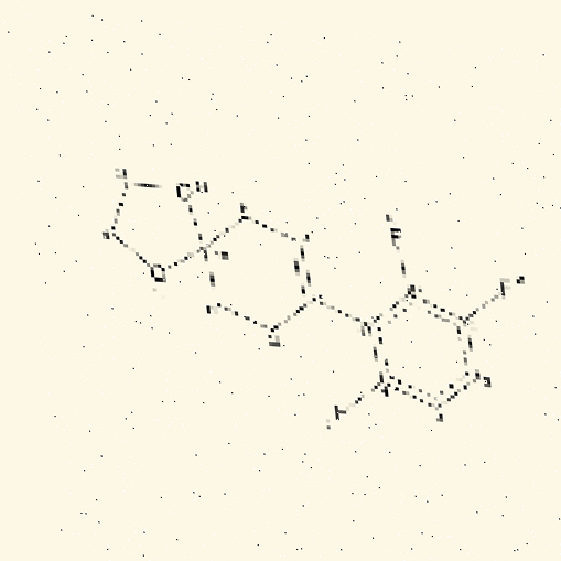 Fc1ccc(F)c(C2=CCC3(CC2)OCCO3)c1F